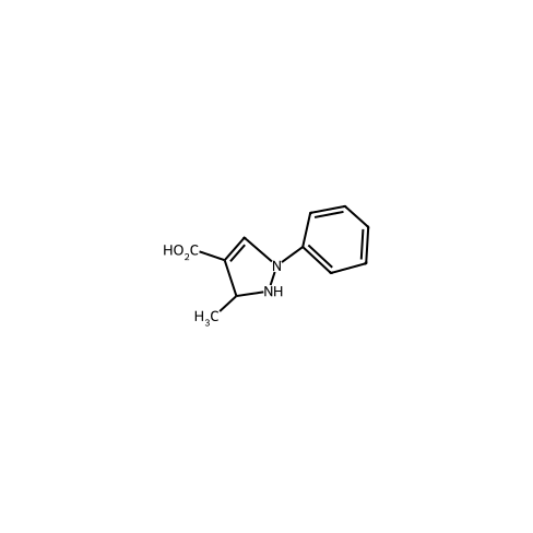 CC1NN(c2ccccc2)C=C1C(=O)O